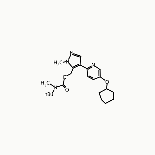 CCCCN(C)C(=O)OCc1c(-c2ccc(OC3CCCCC3)cn2)cnn1C